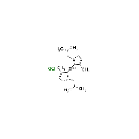 CC1=CCC(CC(C)C)=[C]1[Zr+2][C]1=C(CC(C)C)CC=C1C.[Cl-].[Cl-]